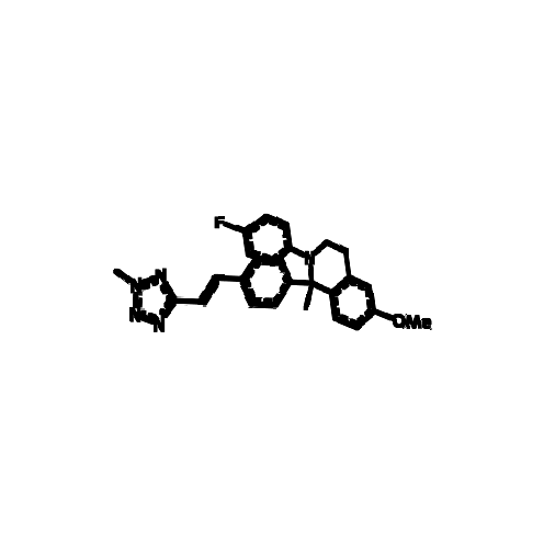 COc1ccc2c(c1)CCN(c1ccc(F)cc1)C2(C)c1ccc(/C=C/c2nnn(C)n2)cc1